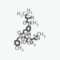 Cc1ccc(CNC(=O)C(Cc2cccc(N(C)C(=O)C(C#N)=CC(C)C)c2)NC(=O)C(NC(=O)c2cnc(C)s2)C(C)O)cc1